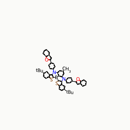 Cc1cc2c3c(c1)N(c1ccc(-c4cc5ccccc5o4)cc1)c1c(sc4ccc(C(C)(C)C)cc14)B3c1sc3ccc(C(C)(C)C)cc3c1N2c1ccc(-c2cc3ccccc3o2)cc1